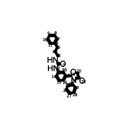 O=C(NCCCc1ccccc1)Nc1cccc(C2OCC(=O)N2c2ccccc2)c1